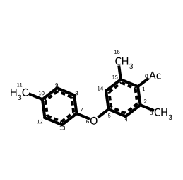 CC(=O)c1c(C)cc(Oc2ccc(C)cc2)cc1C